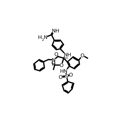 COc1ccc(NS(=O)(=O)c2ccccc2)c([C@](Nc2ccc(C(=N)N)cc2)(OC(C)=O)C(=O)NCc2ccccc2)c1